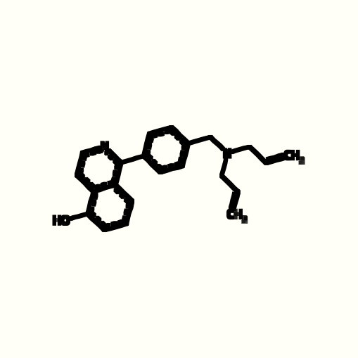 C=CCN(CC=C)Cc1ccc(-c2nccc3c(O)cccc23)cc1